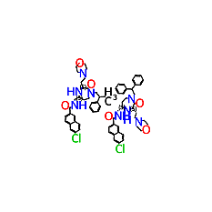 CCC(CN1CC[C@@H](CNC(=O)c2ccc3cc(Cl)ccc3c2)N[C@@H](CCN2CCOCC2)C1=O)c1ccccc1.O=C(NC[C@@H]1CCN(CC(c2ccccc2)c2ccccc2)C(=O)[C@H](CCN2CCOCC2)N1)c1ccc2cc(Cl)ccc2c1